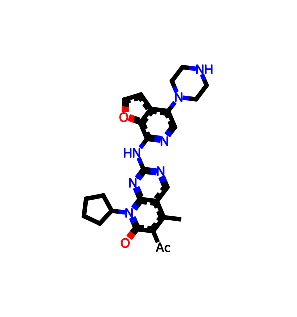 CC(=O)c1c(C)c2cnc(Nc3ncc(N4CCNCC4)c4ccoc34)nc2n(C2CCCC2)c1=O